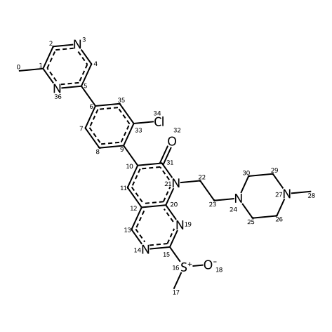 Cc1cncc(-c2ccc(-c3cc4cnc([S+](C)[O-])nc4n(CCN4CCN(C)CC4)c3=O)c(Cl)c2)n1